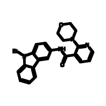 CCn1c2ccccc2c2cc(NC(=O)c3cccnc3N3CCOCC3)ccc21